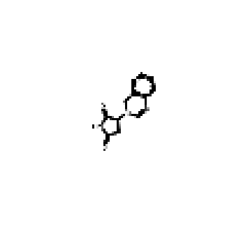 O=C1NC(=S)CC1N1C=Nc2ccccc2C1